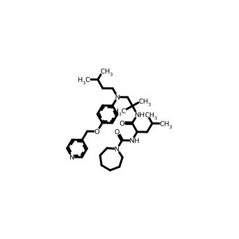 CC(C)CCN(CC(C)(C)NC(=O)C(CC(C)C)NC(=O)N1CCCCCC1)c1ccc(OCc2ccncc2)cc1